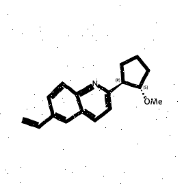 C=Cc1ccc2nc([C@H]3CCC[C@@H]3OC)ccc2c1